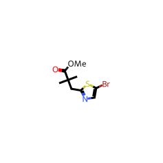 COC(=O)C(C)(C)Cc1ncc(Br)s1